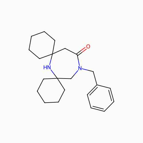 O=C1CC2(CCCCC2)NC2(CCCCC2)CN1Cc1ccccc1